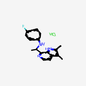 Cc1[nH]c2c(C(C)Nc3ccc(F)cc3)nccc2c1C.Cl